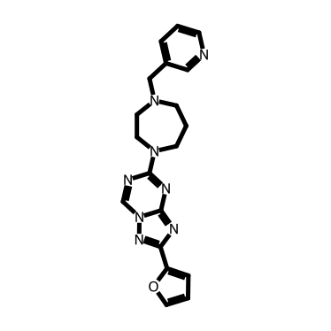 c1cncc(CN2CCCN(c3ncn4nc(-c5ccco5)nc4n3)CC2)c1